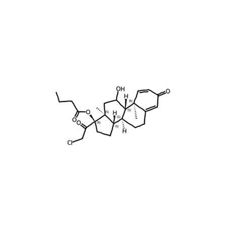 CCCC(=O)O[C@]1(C(=O)CCl)CC[C@H]2[C@@H]3CCC4=CC(=O)C=C[C@]4(C)[C@H]3C(O)C[C@@]21C